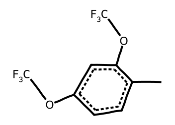 Cc1ccc(OC(F)(F)F)cc1OC(F)(F)F